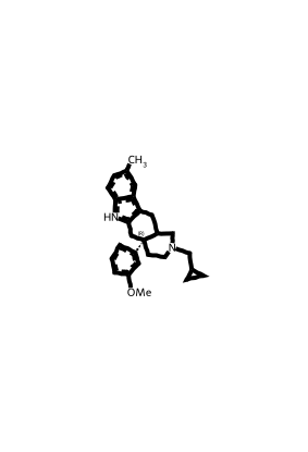 COc1cccc([C@@]23CCN(CC4CC4)CC2Cc2c([nH]c4ccc(C)cc24)C3)c1